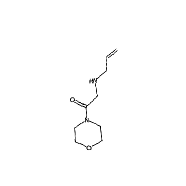 C=CCNCC(=O)N1CCOCC1